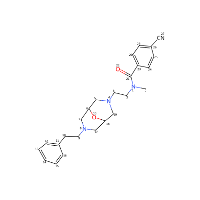 CN(CCN1CC2CN(CCc3ccccc3)CC(C1)O2)C(=O)c1ccc(C#N)cc1